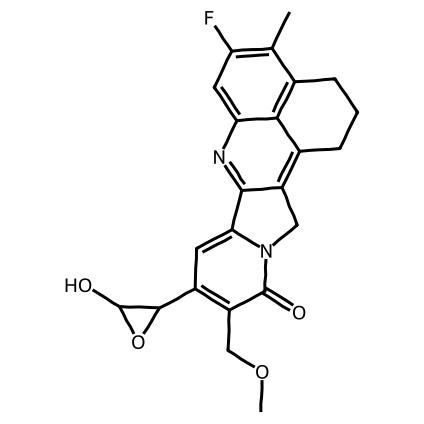 COCc1c(C2OC2O)cc2n(c1=O)Cc1c-2nc2cc(F)c(C)c3c2c1CCC3